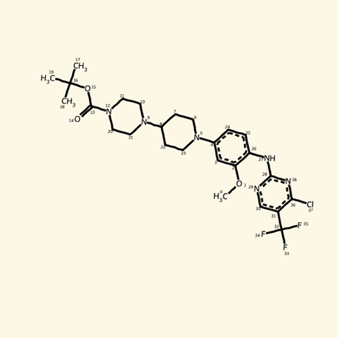 COc1cc(N2CCC(N3CCN(C(=O)OC(C)(C)C)CC3)CC2)ccc1Nc1ncc(C(F)(F)F)c(Cl)n1